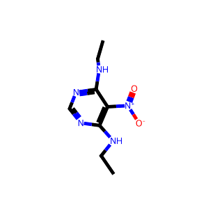 CCNc1ncnc(NCC)c1[N+](=O)[O-]